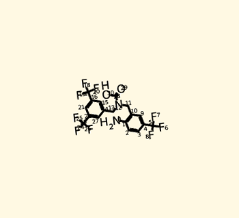 Nc1ccc(C(F)(F)F)cc1CN(Cc1cc(C(F)(F)F)cc(C(F)(F)F)c1)C(=O)O